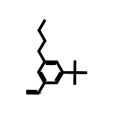 C=[C]c1cc(CCCC)cc(C(C)(C)C)c1